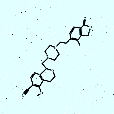 COc1c(C#N)ccc2c1CCOC2CN1CCN(CCc2ccc3c(c2C)COC3=O)CC1